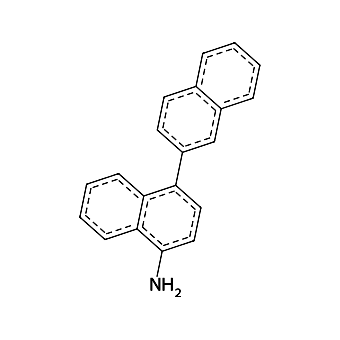 Nc1ccc(-c2ccc3ccccc3c2)c2ccccc12